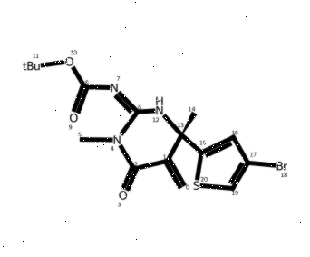 C=C1C(=O)N(C)/C(=N\C(=O)OC(C)(C)C)N[C@]1(C)c1cc(Br)cs1